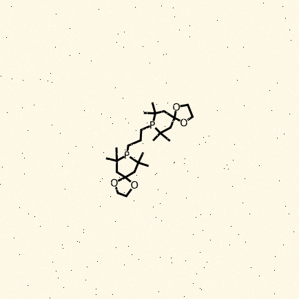 CC1(C)CC2(CC(C)(C)P1CCCP1C(C)(C)CC3(CC1(C)C)OCCO3)OCCO2